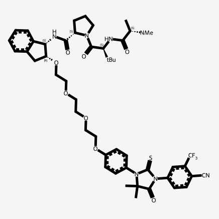 CN[C@@H](C)C(=O)N[C@H](C(=O)N1CCC[C@H]1C(=O)N[C@H]1c2ccccc2C[C@H]1OCCOCCOCCOc1ccc(N2C(=S)N(c3ccc(C#N)c(C(F)(F)F)c3)C(=O)C2(C)C)cc1)C(C)(C)C